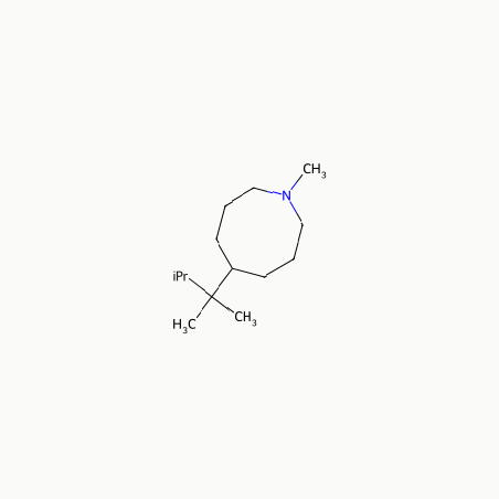 CC(C)C(C)(C)C1CCCN(C)CCC1